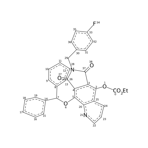 CCOC(=O)Oc1c2c(c(OC(c3ccccc3)c3ccccc3)c3ncccc13)C(=O)N(Cc1ccc(F)cc1)C2=O